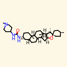 C[C@H]1[C@H]2[C@H](C[C@H]3[C@@H]4CC[C@@H]5C[C@H](NC(=O)NC6CCN(C)CC6)CC[C@]5(C)[C@H]4CC[C@]23C)O[C@]12CC[C@H](C)CC2